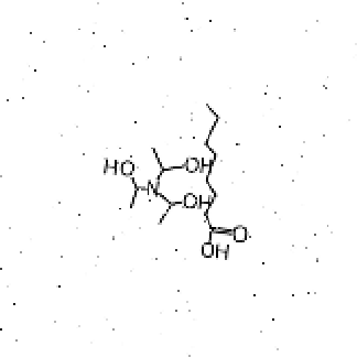 CC(O)N(C(C)O)C(C)O.CCCCCCCC(=O)O